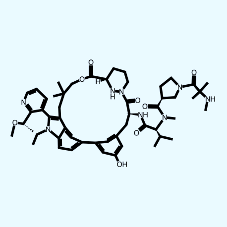 CCn1c(-c2cccnc2[C@H](C)OC)c2c3cc(ccc31)-c1cc(O)cc(c1)C[C@H](NC(=O)[C@H](C(C)C)N(C)C(=O)[C@H]1CCN(C(=O)C(C)(C)NC)C1)C(=O)N1CCC[C@H](N1)C(=O)OCC(C)(C)C2